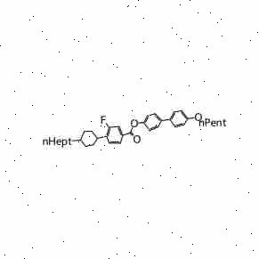 CCCCCCCC1CCC(c2ccc(C(=O)Oc3ccc(-c4ccc(OCCCCC)cc4)cc3)cc2F)CC1